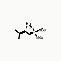 CCCCP(=CC=C(C)C)(CCCC)CCCC.[Ru]